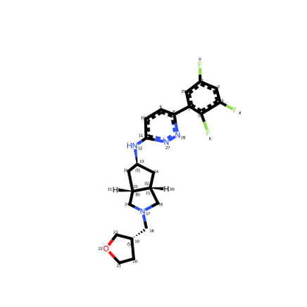 Fc1cc(F)c(F)c(-c2ccc(N[C@H]3C[C@@H]4CN(C[C@@H]5CCOC5)C[C@@H]4C3)nn2)c1